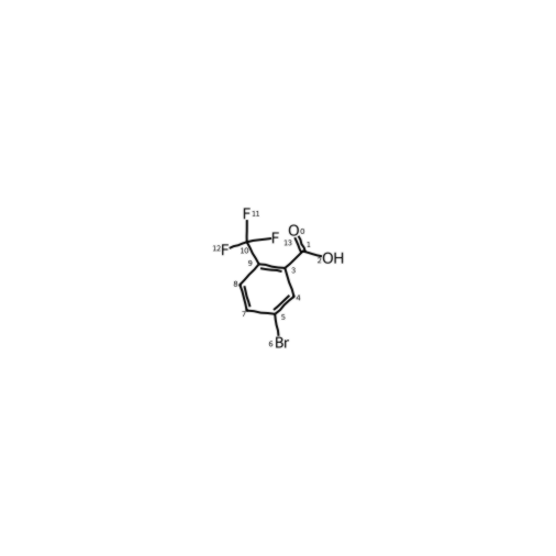 O=C(O)c1cc(Br)ccc1C(F)(F)F